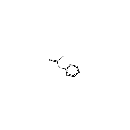 O=[C]([Zn])Oc1ncncn1